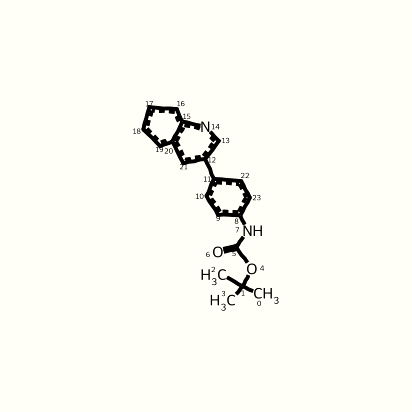 CC(C)(C)OC(=O)Nc1ccc(-c2cnc3ccccc3c2)cc1